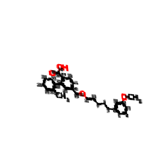 COc1cccc(CCCCCOCc2ccc(C(=O)O)c(-c3ccccc3C)c2)c1